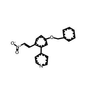 O=[N+]([O-])C=Cc1ccc(OCc2ccccc2)cc1-c1ccncc1